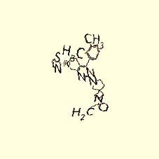 C=CC(=O)N1CC2(CCN(c3nc4c(c(-c5cccc(C)c5C)n3)CC[C@@H](c3nccs3)C4)C2)C1